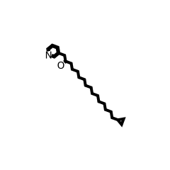 O=C(CCCCCCCCCCCCCCC1CC1)Cc1cccnc1